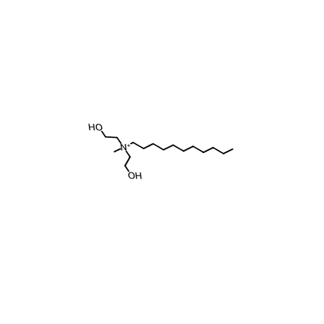 CCCCCCCCCCC[N+](C)(CCO)CCO